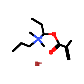 C=C(C)C(=O)OC(CC)[N+](C)(C)CCC.[Br-]